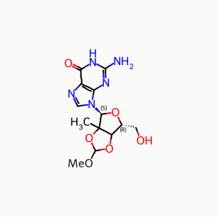 COC1OC2[C@@H](CO)O[C@H](n3cnc4c(=O)[nH]c(N)nc43)C2(C)O1